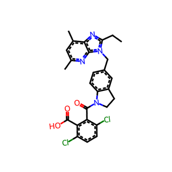 CCc1nc2c(C)cc(C)nc2n1Cc1ccc2c(c1)CCN2C(=O)c1c(Cl)ccc(Cl)c1C(=O)O